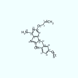 C=CCOc1cc2c(nc(O)n2Cc2cccc(OCC)c2)c(N)n1